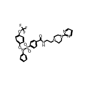 O=C(NCCN1CCN(c2ncccn2)CC1)c1ccc(S(=O)(=O)N(Oc2ccc(OC(F)(F)F)cc2)c2ccccc2)cc1